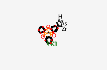 Cl.Cl.O=P(c1ccccc1)(c1ccccc1)C(P(=O)(c1ccccc1)c1ccccc1)P(=O)(c1ccccc1)c1ccccc1.[Zr][C]1=[As][AsH]C=C1